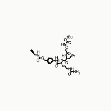 C#CCNC(=O)OCc1ccc(NC(=O)[C@H](CCCNC(N)=O)NC(=O)[C@H](CC(C)C)NC(=O)CONC(=O)OC(C)(C)C)cc1